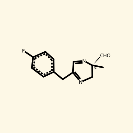 C[C@@]1(C=O)CN=C(Cc2ccc(F)cc2)C=N1